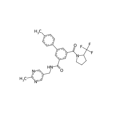 Cc1ccc(-c2cc(C(=O)NCc3cnc(C)nc3)cc(C(=O)N3CCCC3C(F)(F)F)c2)cc1